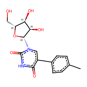 Cc1ccc(-c2cn([C@@H]3O[C@H](CO)[C@@H](O)[C@H]3O)c(=O)[nH]c2=O)cc1